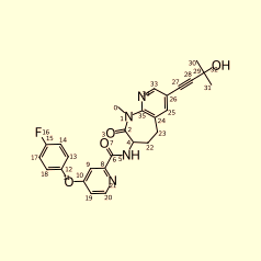 CN1C(=O)C(NC(=O)c2cc(Oc3ccc(F)cc3)ccn2)CCc2cc(C#CC(C)(C)O)cnc21